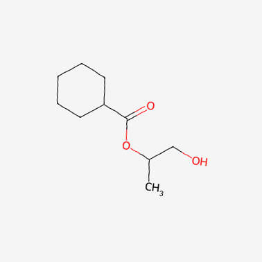 CC(CO)OC(=O)C1CCCCC1